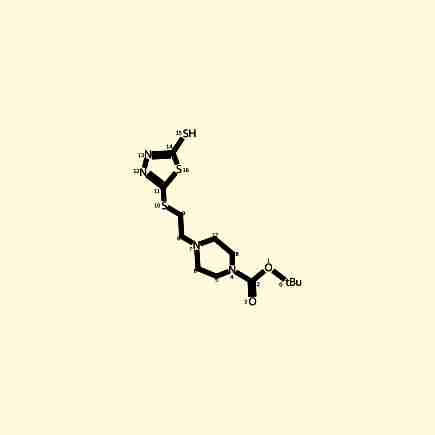 CC(C)(C)OC(=O)N1CCN(CCSc2nnc(S)s2)CC1